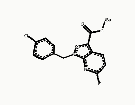 CC(C)(C)OC(=O)c1nn(Cc2ccc(Cl)cc2)c2nc(F)ccc12